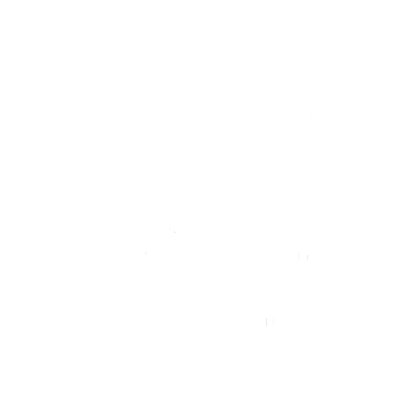 C/C=C(\CC)c1cc(=O)oc(C)cc2occ(C)c2cc1C